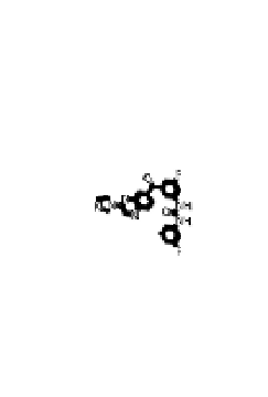 O=C(Nc1cccc(F)c1)Nc1cc(F)cc(C(=O)c2ccc3ncc(-n4ccnc4)nc3c2)c1